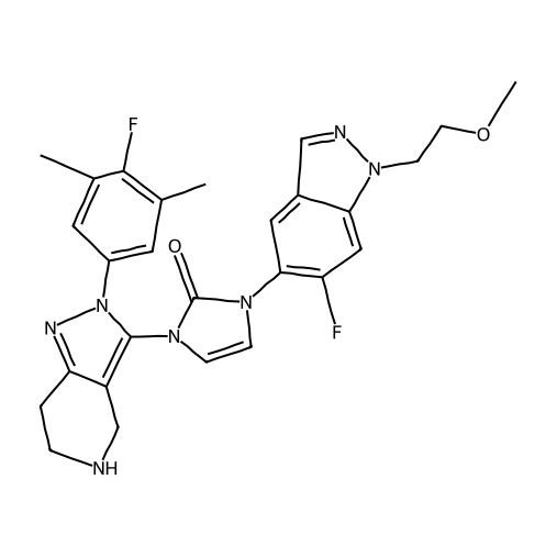 COCCn1ncc2cc(-n3ccn(-c4c5c(nn4-c4cc(C)c(F)c(C)c4)CCNC5)c3=O)c(F)cc21